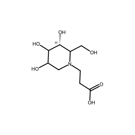 O=C(O)CCN1CC(O)C(O)[C@H](O)C1CO